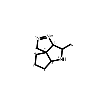 CC1NC2CCCC23CN=NC13